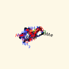 COc1cc2cc(c1Cl)N(C)C(=O)C[C@H](OC(=O)[C@H](C)N(C)C(=O)CCSSC[C@H](NC(=O)[C@@H]1CSSC[C@H](NC(=O)[C@H](N)Cc3c[nH]c4ccccc34)C(=O)N[C@@H](Cc3ccc(O)cc3)C(=O)N[C@H](Cc3c[nH]c4ccccc34)C(=O)N[C@@H](CCCCN)C(=O)N[C@@H]([C@@H](C)O)C(=O)N1)C(N)=O)[C@@]1(C)CC(C)(O1)[C@@H]1C[C@@](O)(NC(=O)O1)[C@H](OC)/C=C/C=C(\C)C2